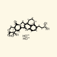 CCN(CC)CCc1ccc2nc3c(c4c2c1SCC4)Cn1c-3cc2c(c1=O)COC(=O)C2(O)CC.Cl.Cl